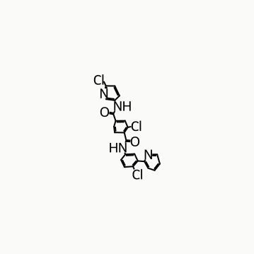 O=C(Nc1ccc(Cl)nc1)c1ccc(C(=O)Nc2ccc(Cl)c(-c3ccccn3)c2)c(Cl)c1